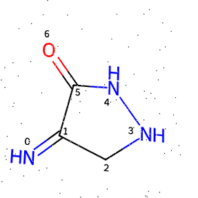 N=C1CNNC1=O